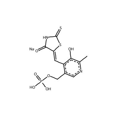 Cc1ncc(COP(=O)(O)O)c(C=C2SC(=S)NC2=O)c1O.[Na]